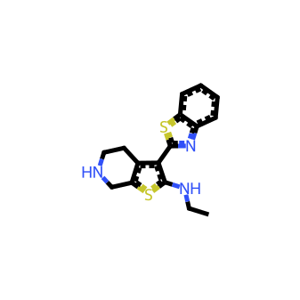 CCNc1sc2c(c1-c1nc3ccccc3s1)CCNC2